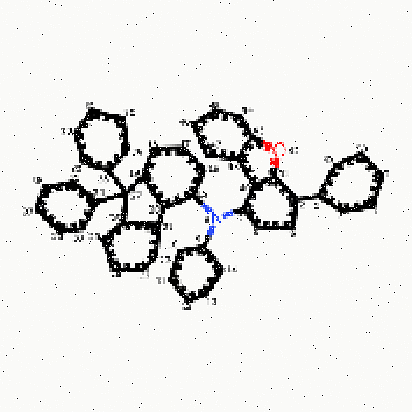 c1ccc(-c2ccc(N(c3ccccc3)c3cccc4c3-c3ccccc3C4(c3ccccc3)c3ccccc3)c3c2oc2ccccc23)cc1